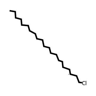 CCCCCCCCCCCCCCCCCC[CH]CCCl